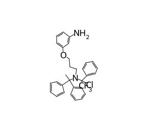 CC(c1ccccc1)(c1ccccc1)N(CCCOc1cccc(N)c1)C(Cl)(c1ccccc1)C(F)(F)F